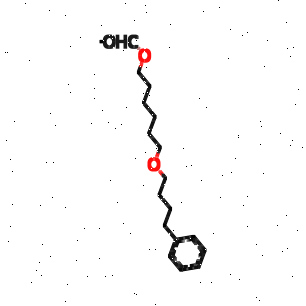 O=[C]OCCCCCCOCCCCc1ccccc1